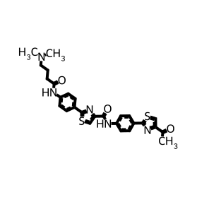 CC(=O)c1csc(-c2ccc(NC(=O)c3csc(-c4ccc(NC(=O)CCCN(C)C)cc4)n3)cc2)n1